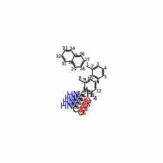 C.Cc1ccccc1.Cc1ccccc1.N=C=O.N=C=O.N=C=O.N=C=O.c1ccc2ccccc2c1